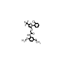 COc1ccc(OC)c(NC(=O)COc2cc(C(F)(F)F)nn2-c2ccccc2Cl)c1